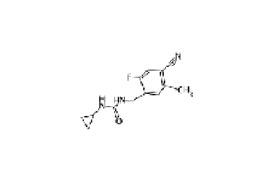 Cc1cc(CNC(=O)NC2CC2)c(F)cc1C#N